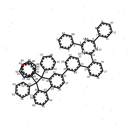 c1ccc(-c2nc(-c3ccccc3)nc(-c3ccccc3-c3cccc(-c4ccc5c(c4)C(c4ccccc4)(c4ccccc4)C(c4ccccc4)(c4ccccc4)c4ccccc4-5)c3)n2)cc1